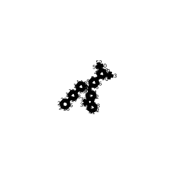 CC(C)(C)c1cc(-c2ccc(N(c3cccc(-c4ccc(C5CCCCC5)cc4)c3)c3ccc4c(c3)C(C)(C)c3ccccc3-4)cc2)cc(C(C)(C)C)c1